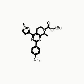 CC1c2nc(-c3ccc(C(F)(F)F)cc3)nc(-c3ccn(C)n3)c2CCN1C(=O)OC(C)(C)C